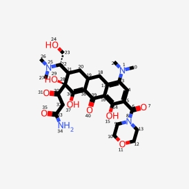 CN(C)c1cc(C(=O)N2CCOCC2)c(O)c2c1CC1CC([C@@H](CO)N(C)C)[C@@](O)(C(=O)CC(N)=O)C(O)=C1C2=O